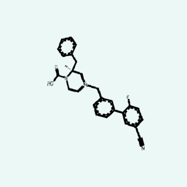 C[C@]1(Cc2ccccc2)CN(Cc2cccc(-c3cc(C#N)ccc3F)c2)CCN1C(=O)O